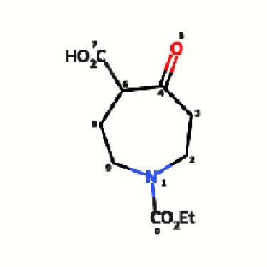 CCOC(=O)N1CCC(=O)C(C(=O)O)CC1